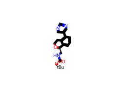 CC(C)(C)OC(=O)NC[C@H]1OCCc2c(-c3cncnc3)cccc21